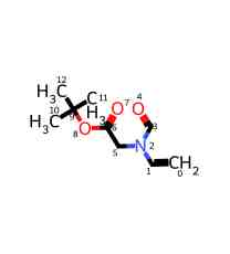 C=CN(C=O)CC(=O)OC(C)(C)C